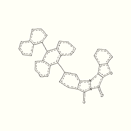 O=c1c2ccc(-c3c4ccccc4c(-c4cccc5ccccc45)c4ccccc34)cc2n2c3c(oc4ccccc43)c(=O)n12